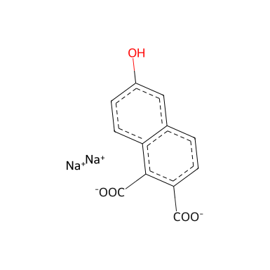 O=C([O-])c1ccc2cc(O)ccc2c1C(=O)[O-].[Na+].[Na+]